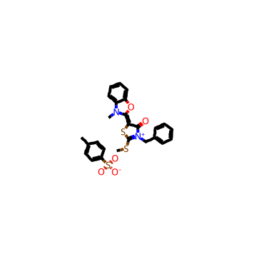 CSC1=[N+](Cc2ccccc2)C(=O)C(=C2Oc3ccccc3N2C)S1.Cc1ccc(S(=O)(=O)[O-])cc1